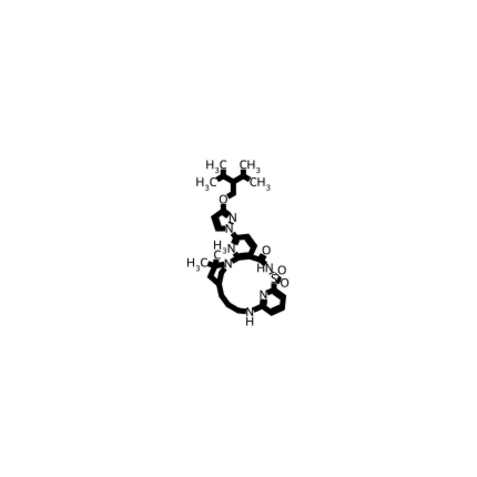 CC(C)C(COc1ccn(-c2ccc3c(n2)N2CC(CCCNc4cccc(n4)S(=O)(=O)NC3=O)CC2(C)C)n1)C(C)C